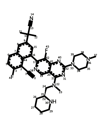 C#Cc1c(F)ccc2cc(C(C)(C)C#N)cc(-c3ncc4c(N(C)C[C@@H]5CCCCN5)nc(N5CCN(C)CC5)nc4c3F)c12